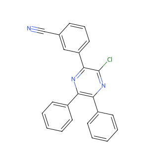 N#Cc1cccc(-c2nc(-c3ccccc3)c(-c3ccccc3)nc2Cl)c1